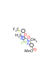 COC(=O)c1ccc(C(C)NC(=O)c2c(C(F)F)nn(C)c2Oc2cccc(SC(F)(F)F)c2)cc1